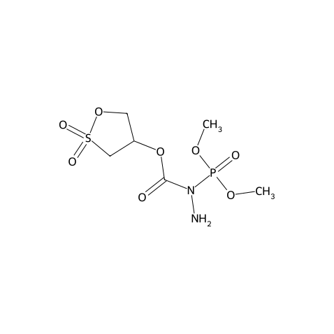 COP(=O)(OC)N(N)C(=O)OC1COS(=O)(=O)C1